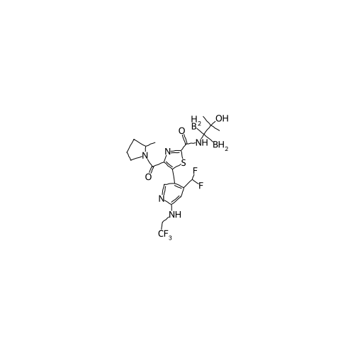 BC(B)(NC(=O)c1nc(C(=O)N2CCCC2C)c(-c2cnc(NCC(F)(F)F)cc2C(F)F)s1)C(C)(C)O